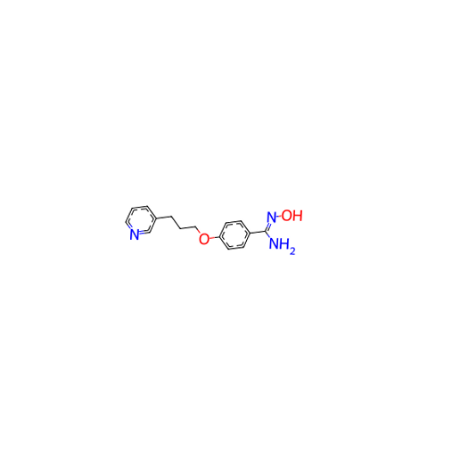 NC(=NO)c1ccc(OCCCc2cccnc2)cc1